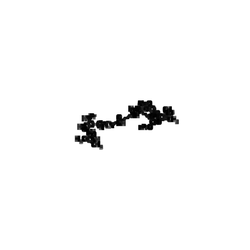 CCCOc1cc(OCCCCN(C)CC(=O)NCCCCC(=O)NCCN2CCN(c3ccc(-c4cc(NC(C)C)c(C=N)c(C(=O)NCc5c(C)cc(C)[nH]c5=O)c4)cn3)CC2)cc(Oc2cc3c(cc2NS(=O)(=O)c2ccc(OC)c(OC)c2)n(C)c(=O)n3C)c1